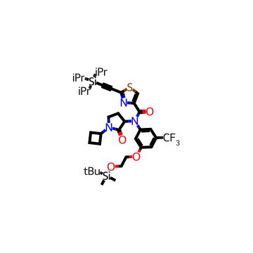 CC(C)[Si](C#Cc1nc(C(=O)N(c2cc(OCCO[Si](C)(C)C(C)(C)C)cc(C(F)(F)F)c2)C2CCN(C3CCC3)C2=O)cs1)(C(C)C)C(C)C